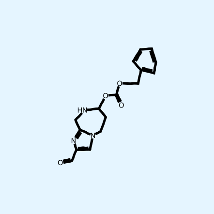 O=Cc1cn2c(n1)CNC(OC(=O)OCc1ccccc1)CC2